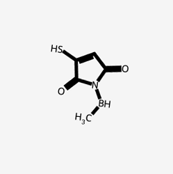 CBN1C(=O)C=C(S)C1=O